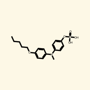 CCCCCOc1ccc(N(C)c2ccc(OP(=O)(O)O)cc2)cc1